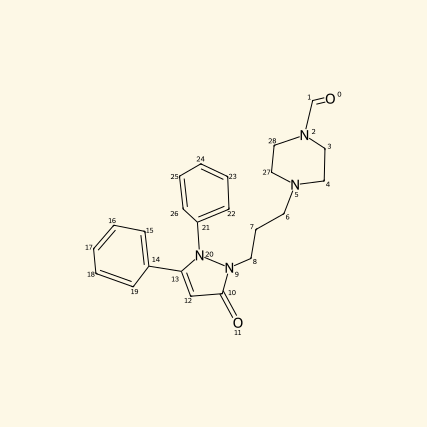 O=CN1CCN(CCCn2c(=O)cc(-c3ccccc3)n2-c2ccccc2)CC1